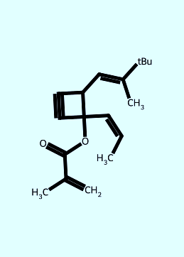 C=C(C)C(=O)OC1(/C=C\C)C#CC1/C=C(\C)C(C)(C)C